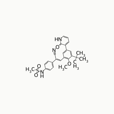 COc1c(C=C(C#N)c2ccc(NS(C)(=O)=O)cc2)cc(-c2ccc[nH]c2=O)cc1C(C)(C)C